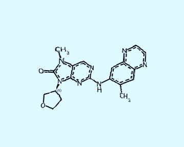 Cc1cc2nccnc2cc1Nc1ncc2c(n1)n([C@H]1CCOC1)c(=O)n2C